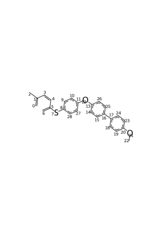 C=C(C)/C=C\C(=C)Sc1ccc(Oc2ccc(-c3ccc(OC)cc3)cc2)cc1